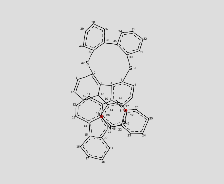 C1=CC2=C(c3c(cccc3-c3cccc4c5ccccc5n(-c5ccccc5)c34)Sc3ccccc3-c3ccccc3S2)C(c2ccccc2)C1